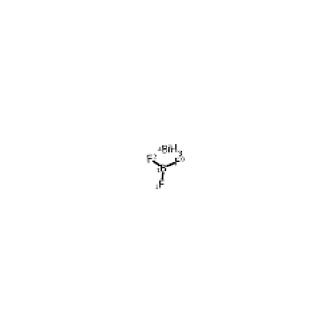 FB(F)F.[BiH3]